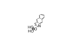 OB(O)Oc1nc2cc3ccccc3cc2s1